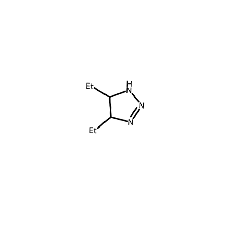 CCC1N=NNC1CC